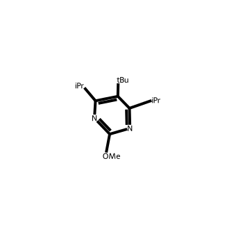 COc1nc(C(C)C)c(C(C)(C)C)c(C(C)C)n1